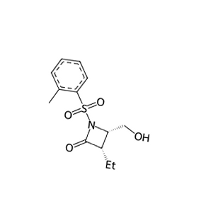 CC[C@@H]1C(=O)N(S(=O)(=O)c2ccccc2C)[C@@H]1CO